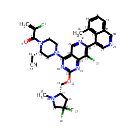 C=C(F)C(=O)N1CCN(c2nc(OC[C@@H]3CC(F)(F)CN3C)nc3c(F)c(-c4cncc5cccc(C)c45)ncc23)C[C@@H]1CC#N